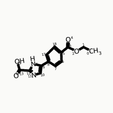 CCOC(=O)c1ccc(-c2cnc(C(=O)O)[nH]2)cc1